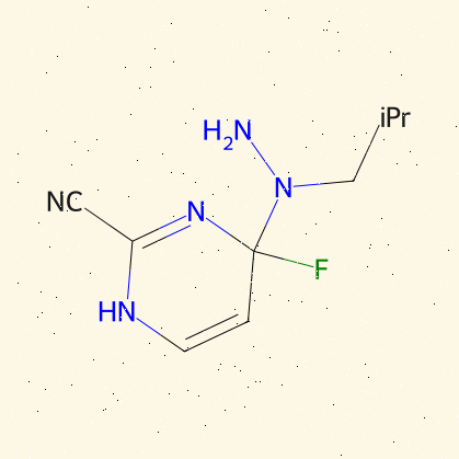 CC(C)CN(N)C1(F)C=CNC(C#N)=N1